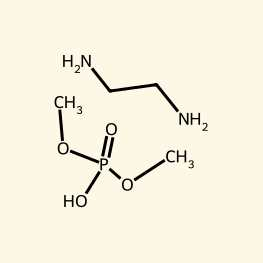 COP(=O)(O)OC.NCCN